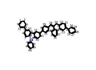 C1=CCCC(c2ccc3c(c2)c2cc(-c4ccc(/C=C(/Cc5ccc(-c6ccccc6)cc5)c5ccccc5)cc4)ccc2n3-c2ccccc2)=C1